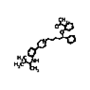 C=C(Nc1cccc(C2CCN(CCCCC(Oc3ccccc3C(C)=O)c3ccccc3)CC2)c1)C(C)C